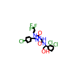 O=C(Cn1nc(-c2ccc(Cl)cc2)n(/C=C/C(F)(F)F)c1=O)NC(CO)c1cccc(Cl)c1Cl